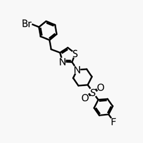 O=S(=O)(c1ccc(F)cc1)C1CCN(c2nc(Cc3cccc(Br)c3)cs2)CC1